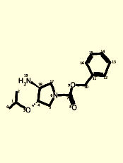 CC(C)O[C@H]1CN(C(=O)OCc2ccccc2)C[C@@H]1N